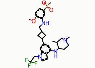 COc1ccc(S(C)(=O)=O)cc1NCC1CC(c2cc(NC3CCN(C)CC3C)c3ccn(CC(F)(F)F)c3c2)C1